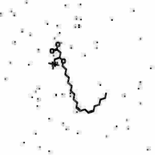 CCCCC/C=C\C/C=C\CCCCCCCCCCOC(CC(=O)[O-])C[N+](C)(C)C